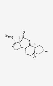 CCC[C@@H](C)C1=CCC2C3CC[C@@H]4C[C@H](C)CC[C@]4(C)C3=CC(=O)[C@]12C